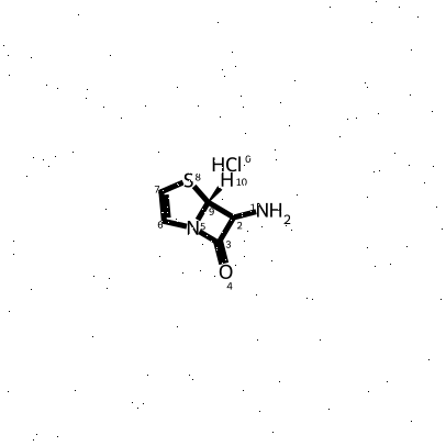 Cl.NC1C(=O)N2C=CS[C@H]12